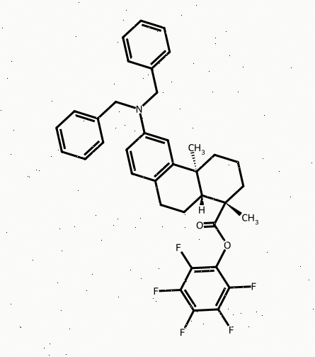 C[C@]1(C(=O)Oc2c(F)c(F)c(F)c(F)c2F)CCC[C@]2(C)c3cc(N(Cc4ccccc4)Cc4ccccc4)ccc3CC[C@@H]12